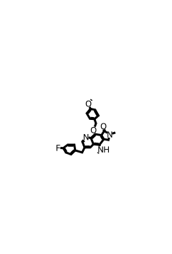 CNc1c2c(c(OCc3ccc(OC)cc3)c3ncc(Cc4ccc(F)cc4)cc13)C(=O)N(C)C2